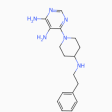 Nc1ncnc(N2CCC(NCCc3ccccc3)CC2)c1N